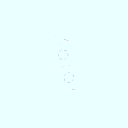 CCOC(=O)c1ccc(S(=O)(=O)c2ccc(NC(=O)C(C)(O)C(F)(F)F)c(Cl)c2)cc1